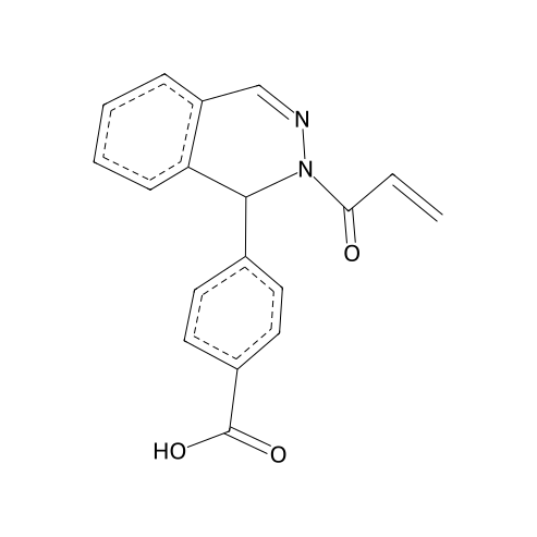 C=CC(=O)N1N=Cc2ccccc2C1c1ccc(C(=O)O)cc1